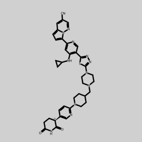 N#Cc1cnn2c(-c3cc(NC4CC4)c(-c4nnc(N5CCN(CC6CCN(c7ccc([C@@H]8CCC(=O)NC8=O)cn7)CC6)CC5)s4)cn3)ccc2c1